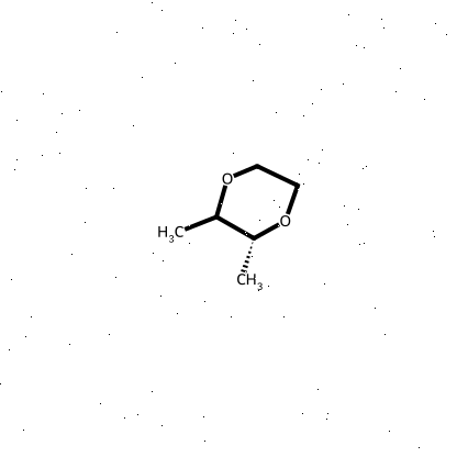 CC1OCCO[C@@H]1C